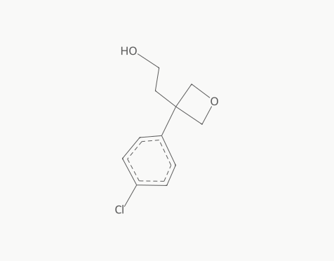 OCCC1(c2ccc(Cl)cc2)COC1